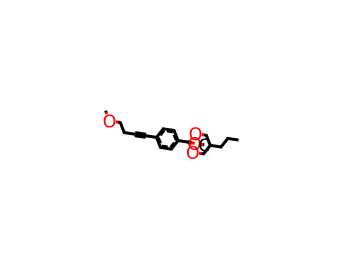 CCCC12COC(c3ccc(C#CCCOC)cc3)(OC1)OC2